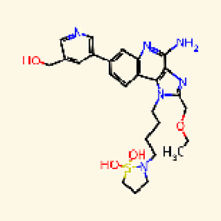 CCOCc1nc2c(N)nc3cc(-c4cncc(CO)c4)ccc3c2n1CCCCN1CCCS1(O)O